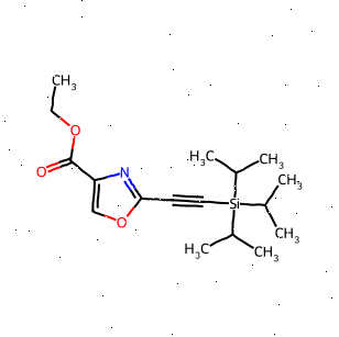 CCOC(=O)c1coc(C#C[Si](C(C)C)(C(C)C)C(C)C)n1